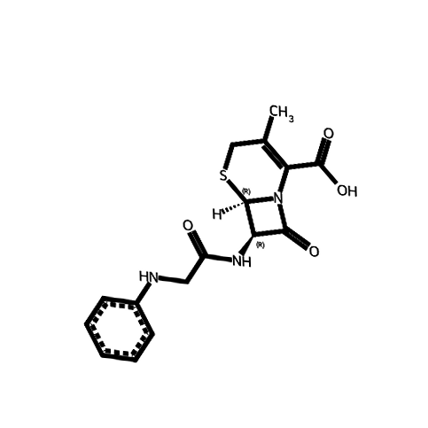 CC1=C(C(=O)O)N2C(=O)[C@@H](NC(=O)CNc3ccccc3)[C@H]2SC1